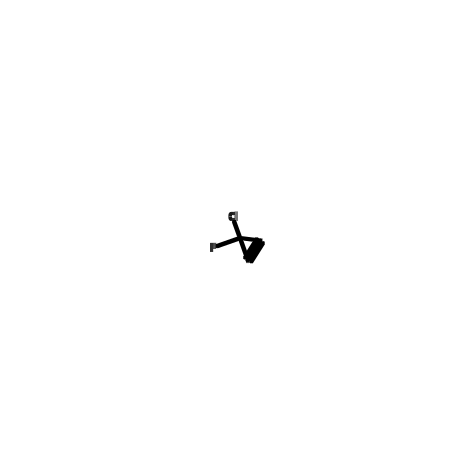 FC1(Cl)C#C1